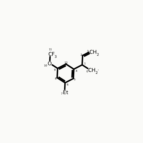 [CH2]C(C=C)c1cc(CC)cc(OC(F)(F)F)c1